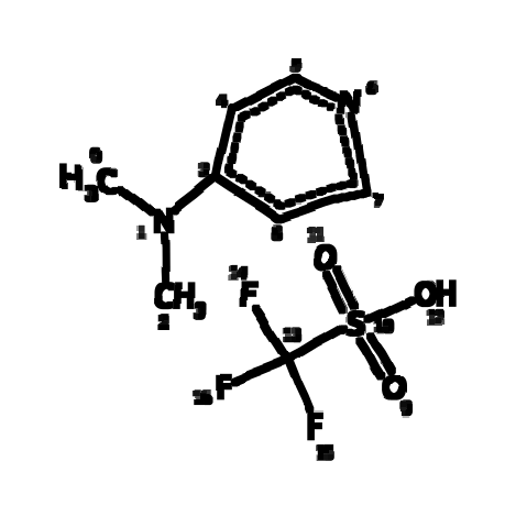 CN(C)c1ccncc1.O=S(=O)(O)C(F)(F)F